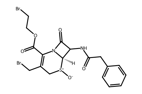 O=C(Cc1ccccc1)NC1C(=O)N2C(C(=O)OCCBr)=C(CBr)C[S+]([O-])[C@H]12